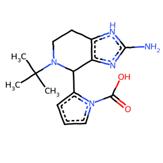 CC(C)(C)N1CCc2[nH]c(N)nc2C1c1cccn1C(=O)O